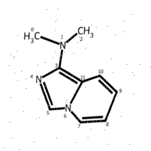 CN(C)c1ncn2ccccc12